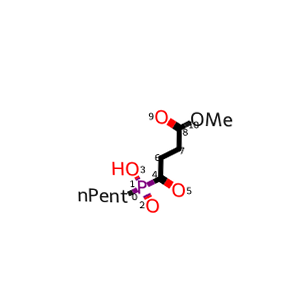 CCCCCP(=O)(O)C(=O)CCC(=O)OC